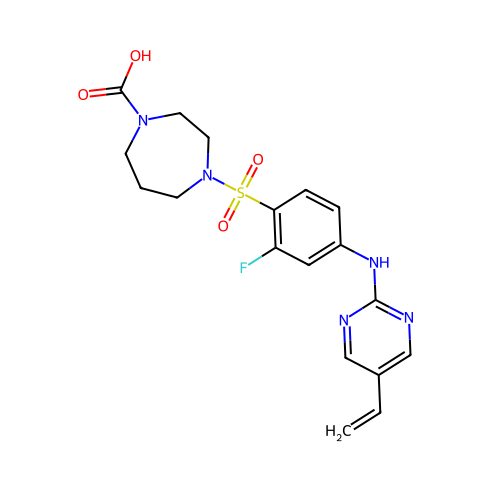 C=Cc1cnc(Nc2ccc(S(=O)(=O)N3CCCN(C(=O)O)CC3)c(F)c2)nc1